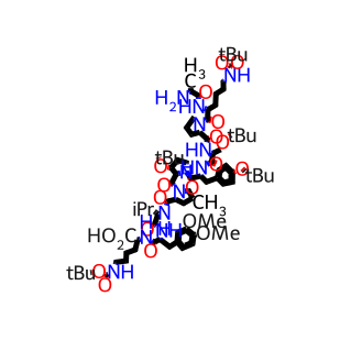 COc1ccc(CC(NC(=O)C(NC(=O)C2CC(C)CN2C(=O)C2C(OC(C)(C)C)CCN2C(=O)C(Cc2ccc(OC(C)(C)C)cc2)NC(=O)C(COC(C)(C)C)NC(=O)C2CCCN2C(=O)C(CCCCNC(=O)OC(C)(C)C)NC(=O)C(C)N)C(C)C)C(=O)NC(CCCCNC(=O)OC(C)(C)C)C(=O)O)cc1OC